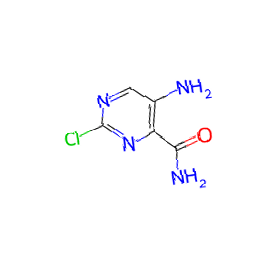 NC(=O)c1nc(Cl)ncc1N